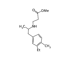 CCc1cc(CC(C)NCCC(=O)OC)ccc1C